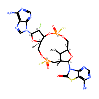 COC1[C@H]2C[P@@](=O)(S)OC[C@H]3O[C@@H](n4cnc5c(N)ncnc54)[C@H](F)C3O[P@@](=O)(S)OC[C@H]1O[C@H]2n1c(=O)sc2c(N)ncnc21